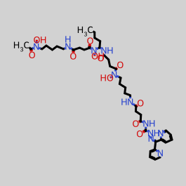 CCCCC(NC(=O)CCC(=O)N(O)CCCCCNC(=O)CCC(=O)NC(=O)NN=C(c1ccccn1)c1ccccn1)N(O)C(=O)CCC(=O)NCCCCCN(O)C(C)=O